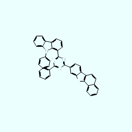 c1ccc(-c2nc(-c3ccc4c(c3)sc3c5ccccc5ccc43)nc(-c3cccc4c5ccccc5n(-c5ccccc5)c34)n2)cc1